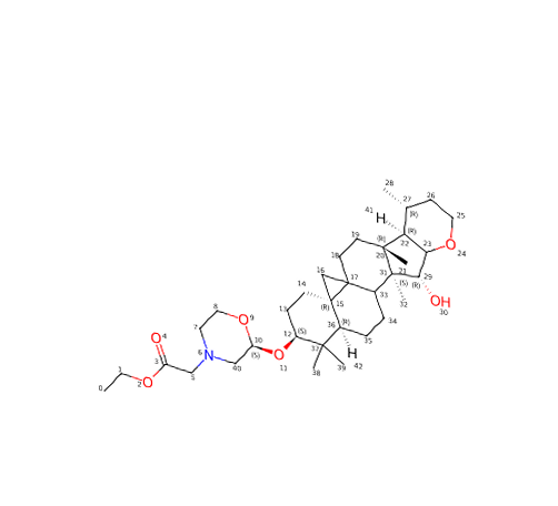 CCOC(=O)CN1CCO[C@@H](O[C@H]2CC[C@]34CC35CC[C@]3(C)[C@@H]6C(OCC[C@H]6C)[C@H](O)[C@@]3(C)C5CC[C@H]4C2(C)C)C1